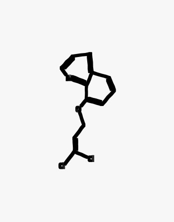 ClC(Cl)=CCOc1cccc2cccnc12